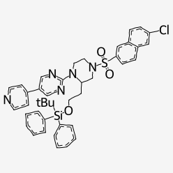 CC(C)(C)[Si](OCCC1CN(S(=O)(=O)c2ccc3cc(Cl)ccc3c2)CCN1c1ncc(-c2ccncc2)cn1)(c1ccccc1)c1ccccc1